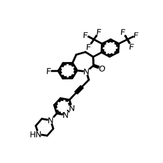 O=C1C(c2ccc(C(F)(F)F)cc2C(F)(F)F)CCc2cc(F)ccc2N1CC#Cc1ccc(N2CCNCC2)nn1